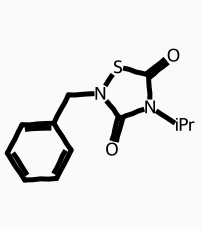 CC(C)n1c(=O)sn(Cc2ccccc2)c1=O